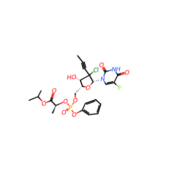 CC#CC1(Cl)[C@@H](O)[C@@H](COP(=O)(Oc2ccccc2)O[C@@H](C)C(=O)OC(C)C)O[C@H]1n1cc(F)c(=O)[nH]c1=O